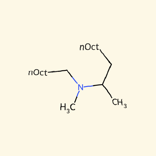 CCCCCCCCCC(C)N(C)CCCCCCCCC